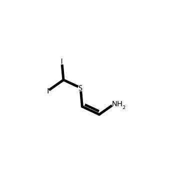 N/C=C\SC(I)I